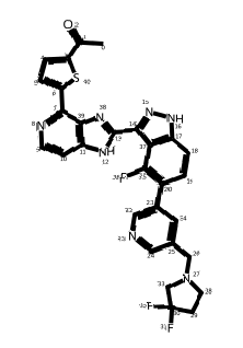 CC(=O)c1ccc(-c2nccc3[nH]c(-c4n[nH]c5ccc(-c6cncc(CN7CCC(F)(F)C7)c6)c(F)c45)nc23)s1